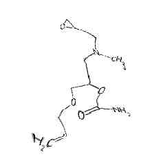 C=CCOCC(CN(C)CC1CO1)OC(N)=O